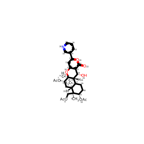 CC(=O)OC[C@@]1(C)[C@@H]2C[C@H](OC(C)=O)[C@@]3(C)Oc4cc(-c5cccnc5)oc(=O)c4[C@H](O)[C@@H]3[C@@]2(C)CC[C@@H]1OC(C)=O